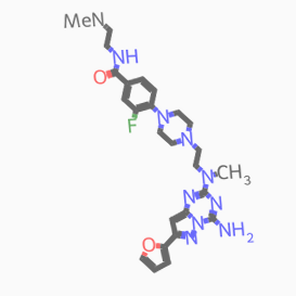 CNCCNC(=O)c1ccc(N2CCN(CCN(C)c3nc(N)n4nc(-c5ccco5)cc4n3)CC2)c(F)c1